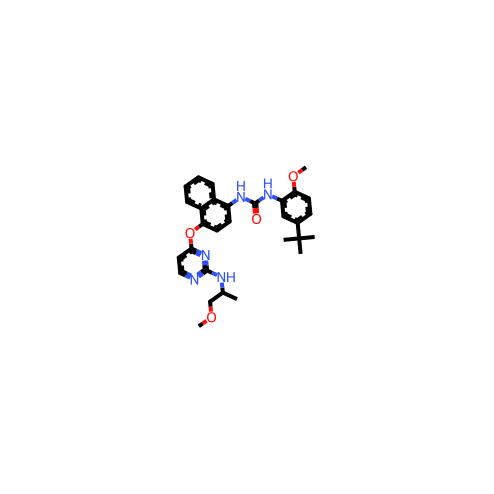 COCC(C)Nc1nccc(Oc2ccc(NC(=O)Nc3cc(C(C)(C)C)ccc3OC)c3ccccc23)n1